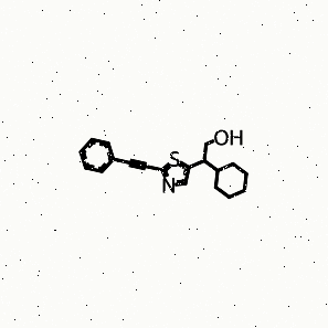 OCC(c1cnc(C#Cc2ccccc2)s1)C1CCCCC1